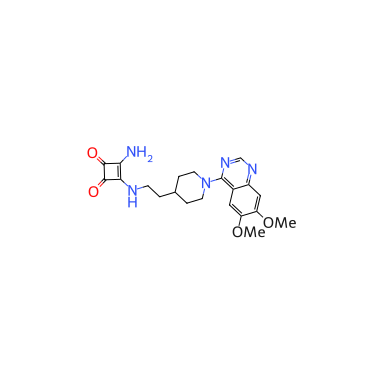 COc1cc2ncnc(N3CCC(CCNc4c(N)c(=O)c4=O)CC3)c2cc1OC